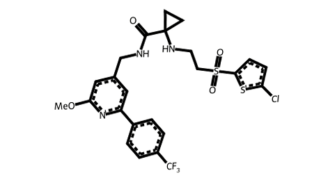 COc1cc(CNC(=O)C2(NCCS(=O)(=O)c3ccc(Cl)s3)CC2)cc(-c2ccc(C(F)(F)F)cc2)n1